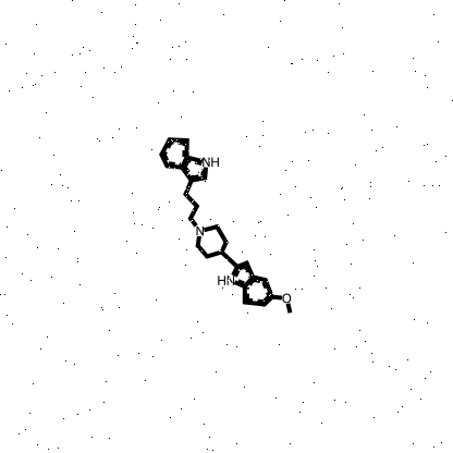 COc1ccc2[nH]c(C3CCN(CCCc4c[nH]c5ccccc45)CC3)cc2c1